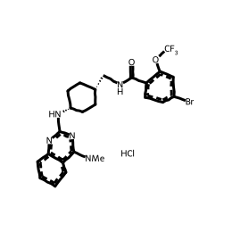 CNc1nc(N[C@H]2CC[C@@H](CNC(=O)c3ccc(Br)cc3OC(F)(F)F)CC2)nc2ccccc12.Cl